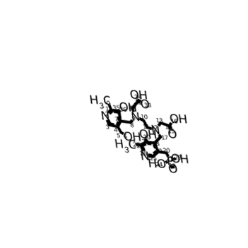 Cc1ncc(CO)c(CN(CCN(CC(=O)O)Cc2c(CP(=O)(O)O)cnc(C)c2O)CC(=O)O)c1O